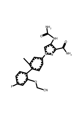 Cc1cc(-n2cc(NC(N)=O)c(C(N)=O)n2)ccc1-c1ccc(F)cc1OCC#N